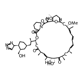 CO[C@H]1C[C@@H]2CC[C@@H](C)[C@@](O)(O2)C(=O)C(=O)N2CCCC[C@H]2C(=O)O[C@H]([C@H](C)C[C@@H]2CC[C@H](C3C=NN=N3)[C@H](CO)C2)CC(=O)[C@H](C)/C=C(\C)[C@@H](O)[C@@H](CO)C(=O)[C@H](C)C[C@H](C)/C=C/C=C/C=C/1C